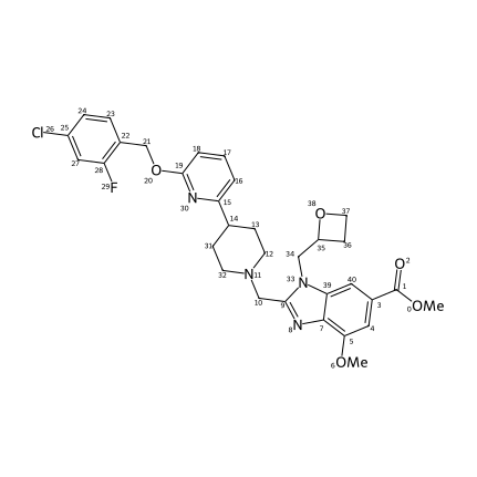 COC(=O)c1cc(OC)c2nc(CN3CCC(c4cccc(OCc5ccc(Cl)cc5F)n4)CC3)n(CC3CCO3)c2c1